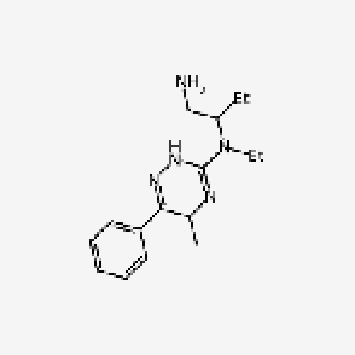 CCC(CN)N(CC)C1=NC(C)C(c2ccccc2)=NN1